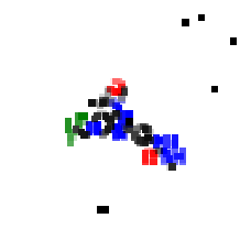 CCNC(=O)Nc1ccc(-c2nc3c(c(N4CCOC[C@@H]4CC)n2)CCN(CC(F)(F)F)C3)cc1